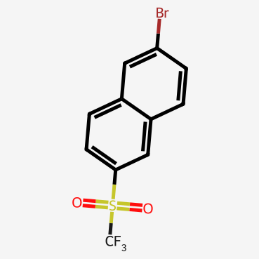 O=S(=O)(c1ccc2cc(Br)ccc2c1)C(F)(F)F